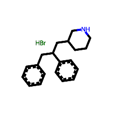 Br.c1ccc(CC(CC2CCCNC2)c2ccccc2)cc1